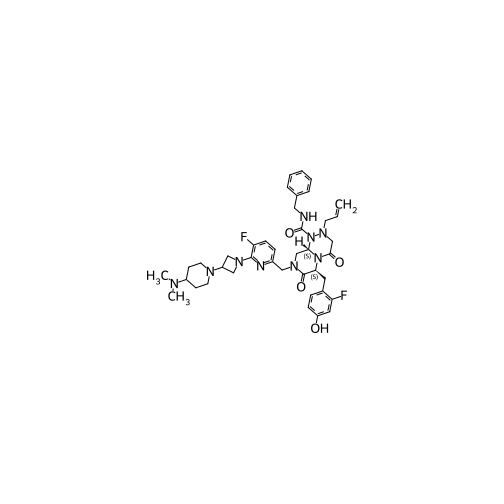 C=CCN1CC(=O)N2[C@@H](Cc3ccc(O)cc3F)C(=O)N(Cc3ccc(F)c(N4CC(N5CCC(N(C)C)CC5)C4)n3)C[C@@H]2N1C(=O)NCc1ccccc1